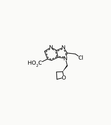 O=C(O)c1cnc2nc(CCl)n(C[C@@H]3CCO3)c2c1